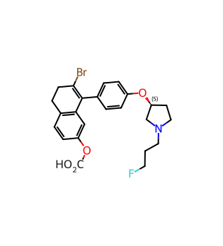 O=C(O)Oc1ccc2c(c1)C(c1ccc(O[C@H]3CCN(CCCF)C3)cc1)=C(Br)CC2